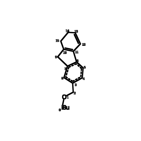 CCC(C)OCc1ccc2c(c1)CC1=C2C=CCC1